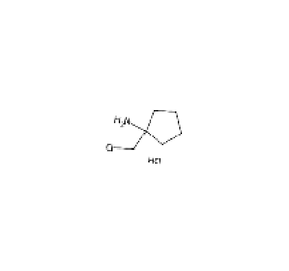 Cl.NC1(CCl)CCCC1